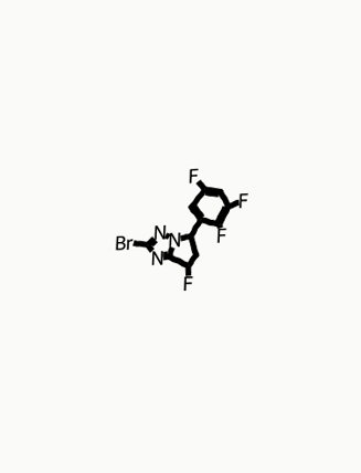 Fc1cc(F)c(F)c(C2CC(F)c3nc(Br)nn32)c1